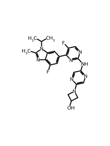 Cc1nc2c(F)cc(-c3nc(Nc4cnc(N5CC(O)C5)cn4)ncc3F)cc2n1C(C)C